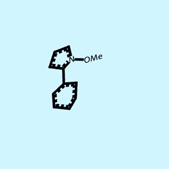 COn1cccc1-c1ccccc1